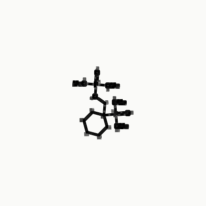 COP(=O)(OC)OCC1(P(=O)(OC)OC)CCCCC1